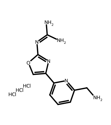 Cl.Cl.Cl.NCc1cccc(-c2coc(N=C(N)N)n2)n1